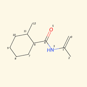 C=C(C)NC(=O)C1CCCCC1C